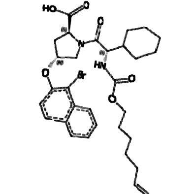 C=CCCCCCOC(=O)N[C@H](C(=O)N1C[C@H](Oc2ccc3ccccc3c2Br)C[C@H]1C(=O)O)C1CCCCC1